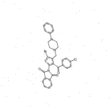 O=C(c1ccc(Cl)cc1)c1c(N2C(=O)c3ccccc3C2=O)sc(Br)c1CN1CCN(c2ccccc2)CC1